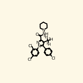 [3H]C([3H])([3H])c1c(C(=O)NN2CCCCC2)nn(-c2ccc(Cl)cc2Cl)c1-c1ccc(Cl)cc1